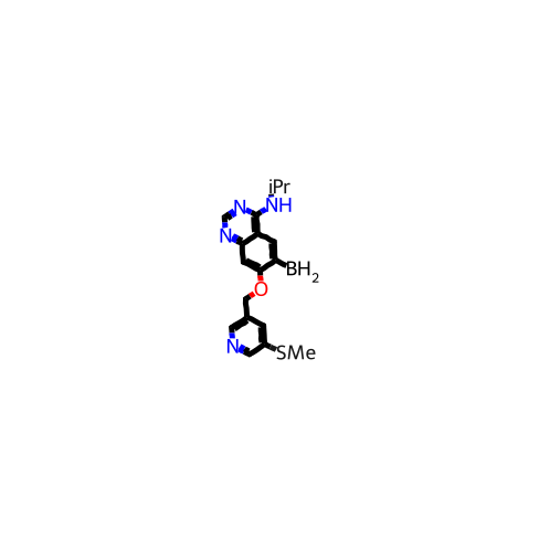 Bc1cc2c(NC(C)C)ncnc2cc1OCc1cncc(SC)c1